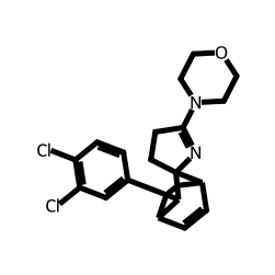 Clc1ccc(C2C3C=CC(CC3)C23CCC(N2CCOCC2)=N3)cc1Cl